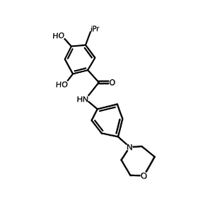 CC(C)c1cc(C(=O)Nc2ccc(N3CCOCC3)cc2)c(O)cc1O